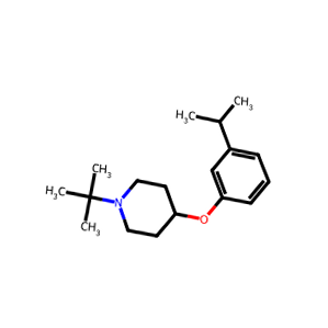 CC(C)c1cccc(OC2CCN(C(C)(C)C)CC2)c1